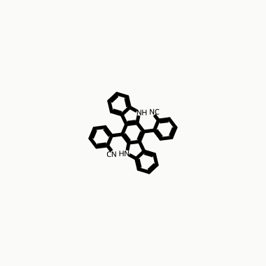 N#Cc1ccccc1-c1c2[nH]c3ccccc3c2c(-c2ccccc2C#N)c2[nH]c3ccccc3c12